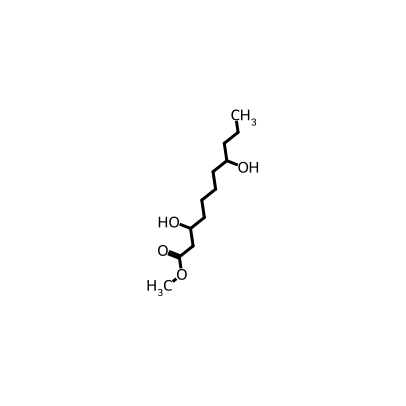 CCCC(O)CCCCC(O)CC(=O)OC